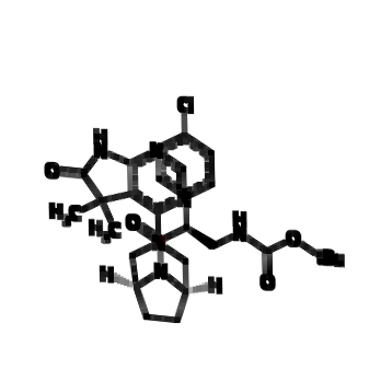 CC(C)(C)OC(=O)NC[C@@H](C(=O)N1[C@@H]2CC[C@H]1CN(c1ncnc3c1C(C)(C)C(=O)N3)C2)c1ccc(Cl)cc1